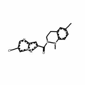 Cc1ccc2c(c1)CCN(C(=O)c1cc3ncc(Cl)cn3n1)N2C